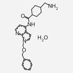 NCC1CCC(C(=O)Nc2ccnc3c2ccn3COCc2ccccc2)CC1.O